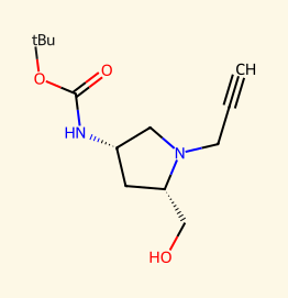 C#CCN1C[C@@H](NC(=O)OC(C)(C)C)C[C@H]1CO